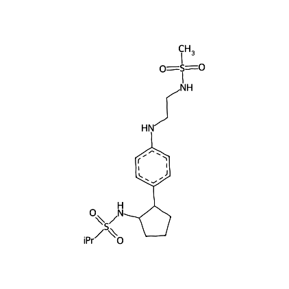 CC(C)S(=O)(=O)NC1CCCC1c1ccc(NCCNS(C)(=O)=O)cc1